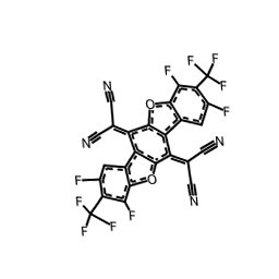 N#CC(C#N)=c1c2oc3c(F)c(C(F)(F)F)c(F)cc3c2c(=C(C#N)C#N)c2oc3c(F)c(C(F)(F)F)c(F)cc3c12